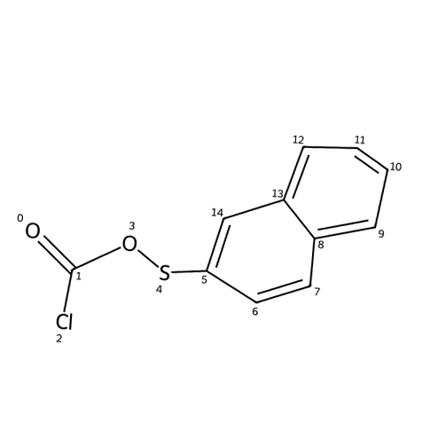 O=C(Cl)OSc1ccc2ccccc2c1